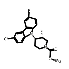 CC(C)(C)OC(=O)N1CC[C@@H](n2c3ccc(F)cc3c3cc(Cl)ccc32)[C@H](F)C1